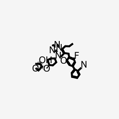 CCCc1c(Cc2ccc(-c3ccccc3C#N)cc2F)c(=O)n([C@H]2CC[C@H](O[C@@H]3COC[C@@H]3O)CC2)c2ncnn12